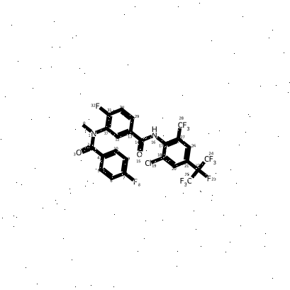 CN(C(=O)c1ccc(F)cc1)c1cc(C(=O)Nc2c(Cl)cc(C(F)(C(F)(F)F)C(F)(F)F)cc2C(F)(F)F)ccc1F